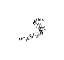 CCCCCCOCC[C@@H]1[C@@H]2CC[C@@H](C2)[C@@H]1C/C=C\CCCC(=O)O